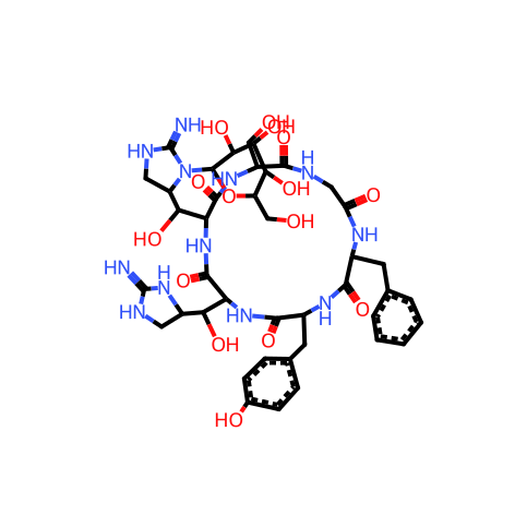 N=C1NCC(C(O)C2NC(=O)C(Cc3ccc(O)cc3)NC(=O)C(Cc3ccccc3)NC(=O)CNC(=O)C(CO)NC(=O)C(C(O)C3CNC(=N)N3C3OC(CO)C(O)C(O)C3O)NC2=O)N1